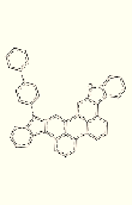 c1ccc(-c2ccc(-n3c4ccccc4c4c5cccc6c7cccc8c9c(cc(c(cc43)c65)c78)oc3ccccc39)cc2)cc1